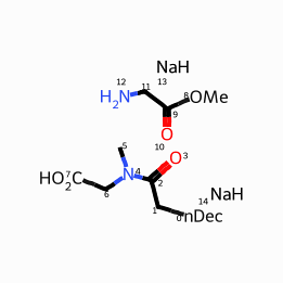 CCCCCCCCCCCC(=O)N(C)CC(=O)O.COC(=O)CN.[NaH].[NaH]